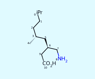 CC(C)CC[C@@H](C)C[C@@H](CN)CC(=O)O